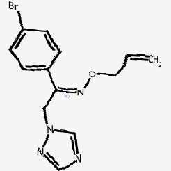 C=CCO/N=C(/Cn1cncn1)c1ccc(Br)cc1